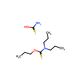 CCCOC(=S)N(CCC)CCC.NC(O)=S